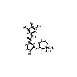 C[C@]1(O)CCCCC(Sc2cc(C(=O)Nc3cc(F)c(F)c(F)c3)ccc2F)C1